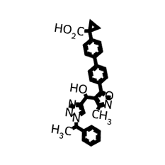 Cc1noc(-c2ccc(-c3ccc(C4(C(=O)O)CC4)cc3)cc2)c1C(O)c1cn(C(C)c2ccccc2)nn1